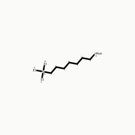 [CH2]CCCCCCCCCCCCCCC[Si](CC)(CC)CC